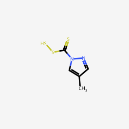 Cc1cnn(C(=S)SS)c1